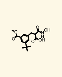 COC(=O)c1cc(CC(C(=O)O)C(=O)NO)cc(C(C)(C)C)c1